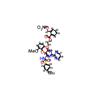 COc1ccccc1Oc1c(NS(=O)(=O)c2ccc(C(C)(C)C)cc2)nc(-c2ncccn2)nc1OCCOC(=O)c1ccccc1CO[N+](=O)[O-]